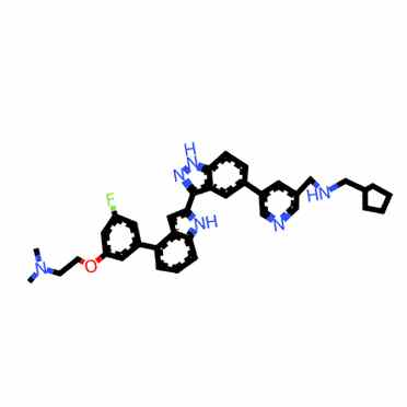 CN(C)CCOc1cc(F)cc(-c2cccc3[nH]c(-c4n[nH]c5ccc(-c6cncc(CNCC7CCCC7)c6)cc45)cc23)c1